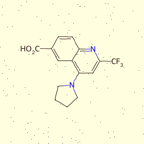 O=C(O)c1ccc2nc(C(F)(F)F)cc(N3CCCC3)c2c1